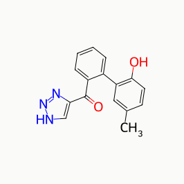 Cc1ccc(O)c(-c2ccccc2C(=O)c2c[nH]nn2)c1